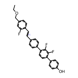 CCOCc1ccc(/C=C/c2ccc(-c3ccc(-c4ccc(O)cc4)c(F)c3F)cc2)c(F)c1